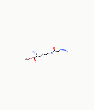 CC(C)(C)OC(=O)[C@@H](N)CCCCNC(=O)CN=[N+]=[N-]